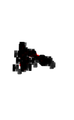 CBN1CCCC(C(NC(=O)c2ccc(Nc3nc(NCc4ccc(OCCCCCCNC(=O)OC(C)(C)C)cc4)nc(OCC(F)(F)F)n3)cc2)C(C)=O)C1